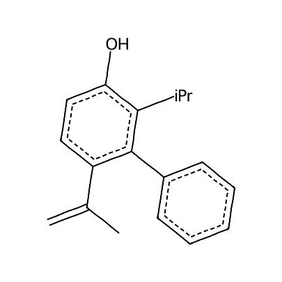 C=C(C)c1ccc(O)c(C(C)C)c1-c1ccccc1